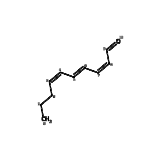 CCC\C=C/C=C/C=C\[C]=O